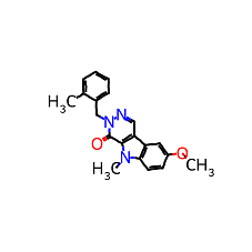 COc1ccc2c(c1)c1cnn(Cc3ccccc3C)c(=O)c1n2C